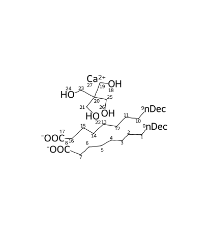 CCCCCCCCCCCCCCCCCC(=O)[O-].CCCCCCCCCCCCCCCCCC(=O)[O-].OCC(CO)(CO)CO.[Ca+2]